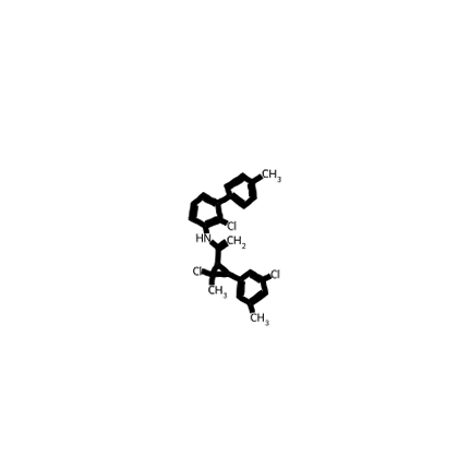 C=C(Nc1cccc(-c2ccc(C)cc2)c1Cl)C1C(c2cc(C)cc(Cl)c2)C1(C)Cl